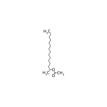 CCCCCCCCCCCCCC(C)OC(C)=O